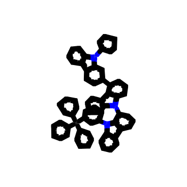 c1ccc(-n2c3ccccc3c3ccc(-c4cccc5c4c4ccccc4n5-c4cccc5c6ccccc6n(-c6cccc([Si](c7ccccc7)(c7ccccc7)c7ccccc7)c6)c45)cc32)cc1